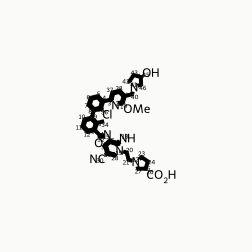 COc1nc(-c2cccc(-c3cccc(-c4nc5c(=N)n(CCN6CC[C@@H](C(=O)O)C6)cc(C#N)c5o4)c3C)c2Cl)ccc1CN1CC[C@@H](O)C1